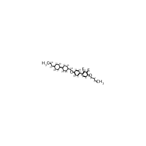 CCCCOc1ccc(-c2ccc(OCC3CCC(C4CCC(CCC)CC4)CC3)cc2)c(F)c1F